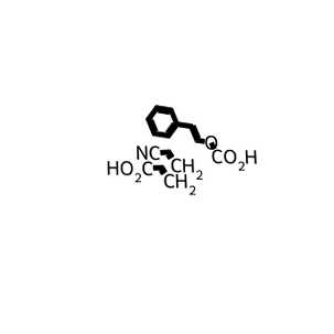 C=CC#N.C=CC(=O)O.O=C(O)OC=Cc1ccccc1